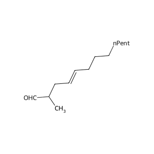 CCCCCCCCC=CCC(C)C=O